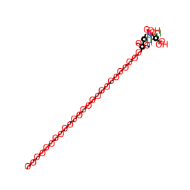 COCCOCCOCCOCCOCCOCCOCCOCCOCCOCCOCCOCCOCCOCCOCCOCCOCCOCCOCCOCCOCCOCCOCCOCCOCc1cc(OC)c(-c2ccc(C[C@H](NC(=O)c3c(Cl)cc(C(=O)O)cc3Cl)C(=O)O)cc2)c(OC)c1